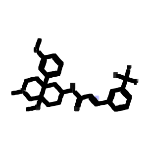 COc1cccc(C23CCN(C)CC2(OC)CCC(NC(=O)/C=C/c2cccc(C(F)(F)F)c2)C3)c1